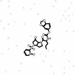 CCCC(NC(=O)Oc1ccc2c(c1)OCO2)C(=O)N1CCC2C1C(=O)CN2S(=O)(=O)c1cccc[n+]1[O-]